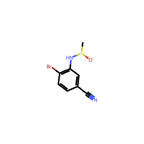 C[S+]([O-])Nc1cc(C#N)ccc1Br